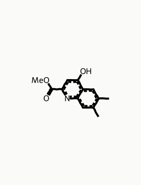 COC(=O)c1cc(O)c2cc(C)c(C)cc2n1